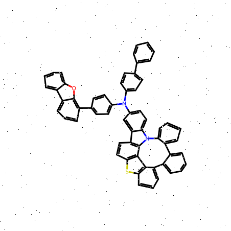 c1ccc(-c2ccc(N(c3ccc(-c4cccc5c4oc4ccccc45)cc3)c3ccc4c(c3)c3ccc5sc6cccc7c8ccccc8c8ccccc8n4c3c5c67)cc2)cc1